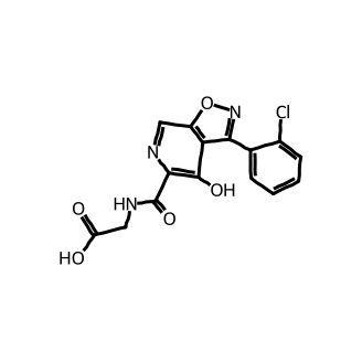 O=C(O)CNC(=O)c1ncc2onc(-c3ccccc3Cl)c2c1O